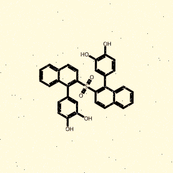 O=S(=O)(c1ccc2ccccc2c1-c1ccc(O)c(O)c1)c1ccc2ccccc2c1-c1ccc(O)c(O)c1